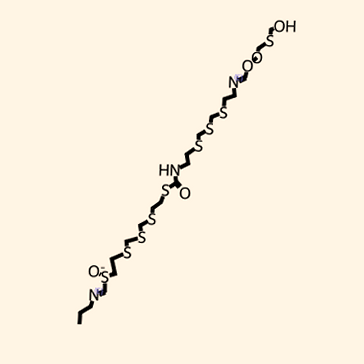 CCC/N=C/[S+]([O-])CCSCSCSCCSC(=O)NCCSCSCSCC/N=C/OOCSCO